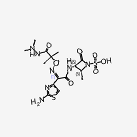 C[C@H]1[C@H](NC(=O)/C(=N\OC(C)(C)C(=O)NN(C)C)c2csc(N)n2)C(=O)N1S(=O)(=O)O